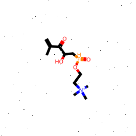 C=C(C)C(=O)C(O)C[PH](=O)OCC[N+](C)(C)C